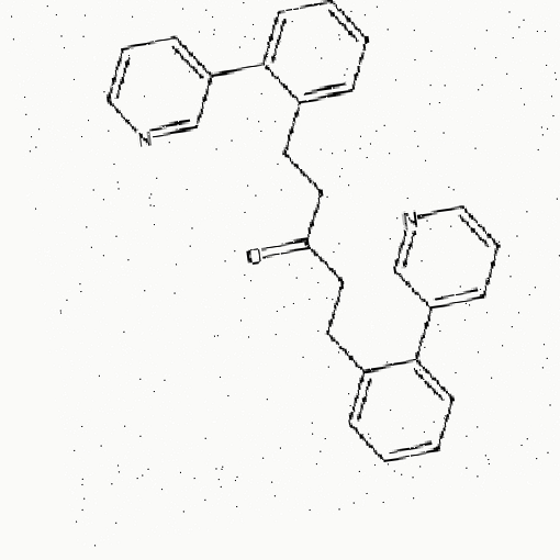 O=C(CCc1ccccc1-c1cccnc1)CCc1ccccc1-c1cccnc1